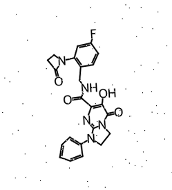 O=C(NCc1ccc(F)cc1N1CCC1=O)c1nc2n(c(=O)c1O)CCN2c1ccccc1